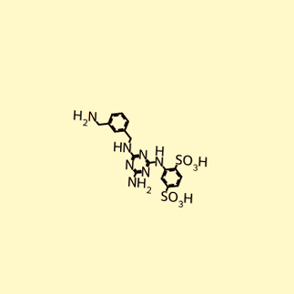 NCc1cccc(CNc2nc(N)nc(Nc3cc(S(=O)(=O)O)ccc3S(=O)(=O)O)n2)c1